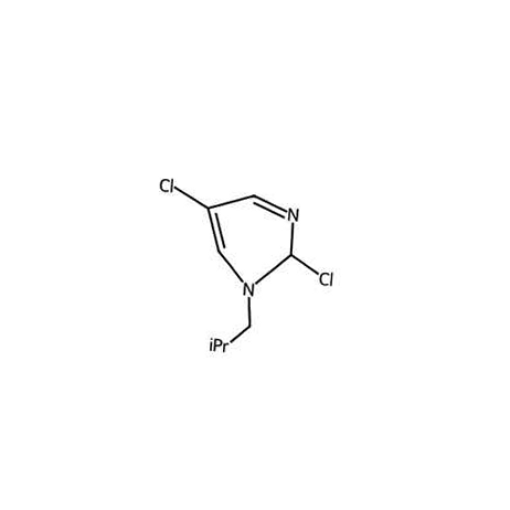 CC(C)CN1C=C(Cl)C=NC1Cl